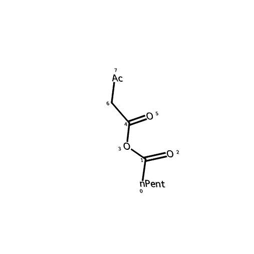 CCCCCC(=O)OC(=O)CC(C)=O